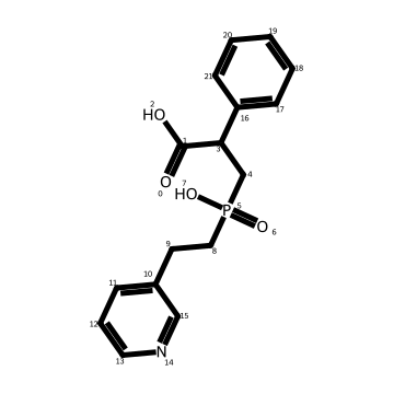 O=C(O)C(CP(=O)(O)CCc1cccnc1)c1ccccc1